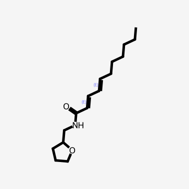 CCCCCC/C=C/C=C/C(=O)NCC1CCCO1